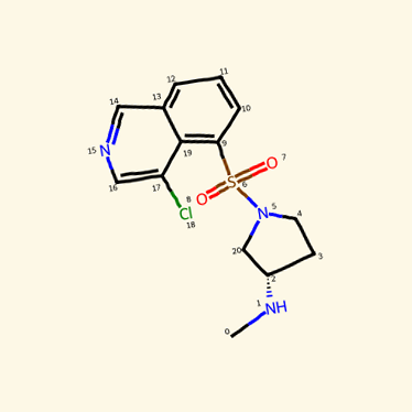 CN[C@H]1CCN(S(=O)(=O)c2cccc3cncc(Cl)c23)C1